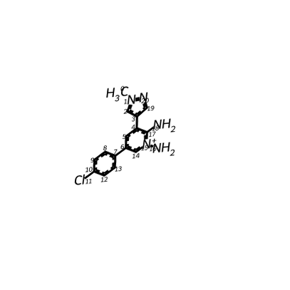 Cn1cc(-c2cc(-c3ccc(Cl)cc3)c[n+](N)c2N)cn1